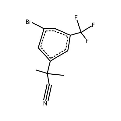 CC(C)(C#N)c1cc(Br)cc(C(F)(F)F)c1